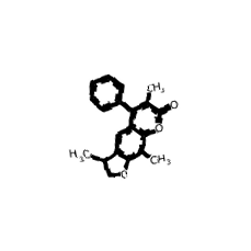 Cc1c(-c2ccccc2)c2cc3c(c(C)c2oc1=O)OCC3C